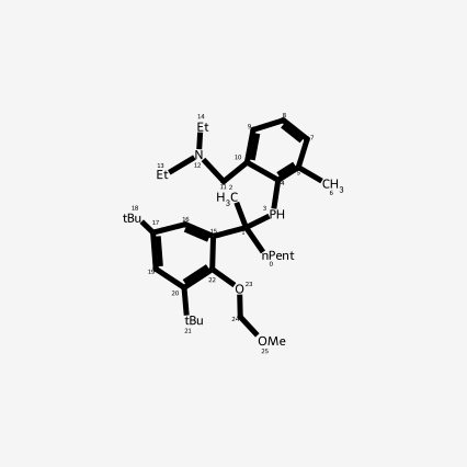 CCCCCC(C)(Pc1c(C)cccc1CN(CC)CC)c1cc(C(C)(C)C)cc(C(C)(C)C)c1OCOC